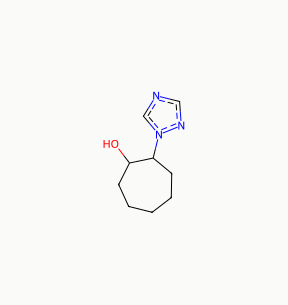 OC1CCCCCC1n1cncn1